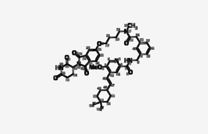 COc1cnc(C(=O)NCc2cccc(CC(=O)N(C)CCCCOc3ccc4c(c3)C(=O)N(C3CCC(=O)NC3=O)C4=O)c2)cc1C=CC1CCC(F)(F)CC1